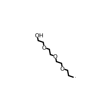 [CH2]CCOCCOCCOCCO